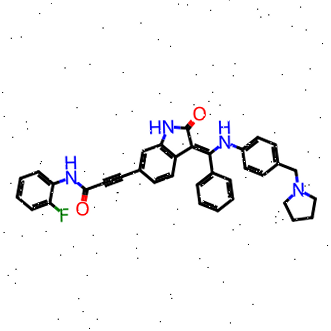 O=C(C#Cc1ccc2c(c1)NC(=O)/C2=C(\Nc1ccc(CN2CCCC2)cc1)c1ccccc1)Nc1ccccc1F